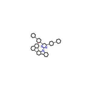 c1ccc(-c2ccc(-c3cc(-c4ccc(-c5ccccc5)cc4)nc(-n4c5ccccc5c5ccc6c(c54)-c4cccc5cccc-6c45)n3)cc2)cc1